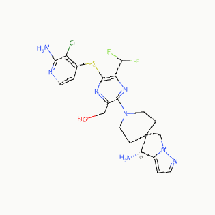 Nc1nccc(Sc2nc(CO)c(N3CCC4(CC3)Cn3nccc3[C@@H]4N)nc2C(F)F)c1Cl